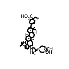 C=C(C)[C@@H]1CC[C@]2(NCC(=O)N3CCCS(O)(O)CC3)CC[C@]3(C)[C@H](CC[C@@H]4[C@@]5(C)CC=C(C6=CC[C@](CF)(C(=O)O)CC6)C(C)(C)[C@@H]5CC[C@]43C)[C@@H]12